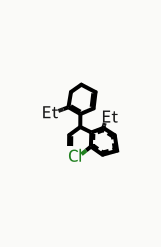 C=CC(C1=C(CC)CCC=C1)c1c(Cl)cccc1CC